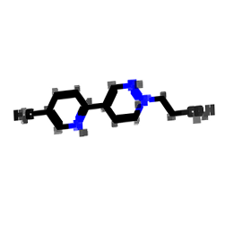 Cc1ccc(-c2cc[n+](CCC(=O)O)nc2)nc1